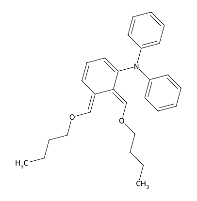 CCCCOC=c1cccc(N(c2ccccc2)c2ccccc2)c1=COCCCC